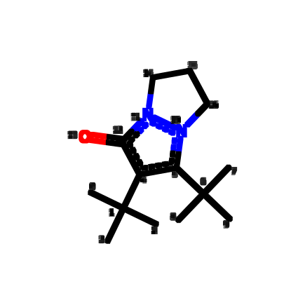 CC(C)(C)c1c(C(C)(C)C)n2n(c1=O)CCC2